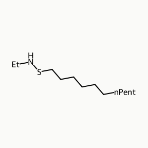 CCCCCCCCCCCSNCC